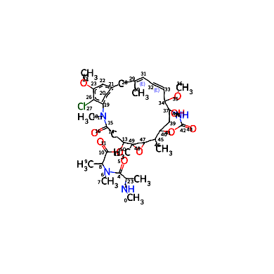 CNC(C)C(=O)N(C)C(C)C(=O)OC1CC(=O)N(C)c2cc(cc(OC)c2Cl)C/C(C)=C/C=C/C(OC)C2(O)CC(OC(=O)N2)C(C)C2OC12C